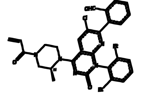 C=CC(=O)N1CCN(c2nc(=O)n(-c3c(CC)cccc3CC)c3nc(-c4ccccc4C=O)c(Cl)cc23)[C@@H](C)C1